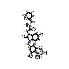 COc1cc(/C=C2\c3ccc(F)cc3C(CC(=O)NCc3ccccn3)C2C)cc(OC)c1B(O)O